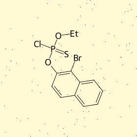 CCOP(=S)(Cl)Oc1ccc2ccccc2c1Br